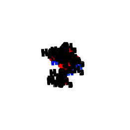 CCC(Cc1ccccc1)(C(=O)c1ccc(NC(C)OC(=O)c2cc(C(=O)OC(C)Nc3ccc(C(=O)C(CC)(Cc4ccccc4)N(C)C)cc3)c(C(=O)OC(C)Nc3ccc(C(=O)C4(CC)Cc5ccccc5N4C)cc3)cc2C(=O)OC(C)Nc2ccc(C(=O)C(CC)(Cc3ccccc3)N(C)C)cc2)cc1)N(C)C